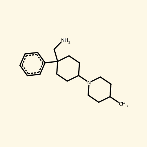 CC1CCN(C2CCC(CN)(c3ccccc3)CC2)CC1